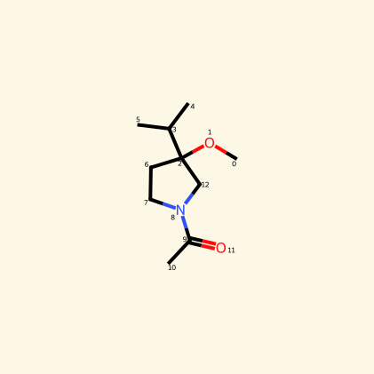 COC1(C(C)C)CCN(C(C)=O)C1